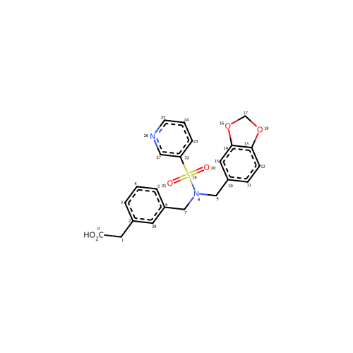 O=C(O)Cc1cccc(CN(Cc2ccc3c(c2)OCO3)S(=O)(=O)c2cccnc2)c1